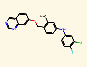 COc1cc(Nc2ccc(F)c(Cl)c2)ccc1COc1ccc2cncnc2c1